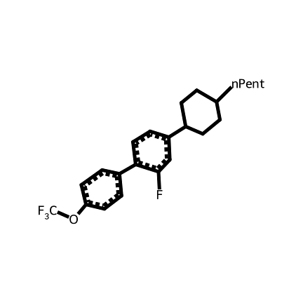 CCCCCC1CCC(c2ccc(-c3ccc(OC(F)(F)F)cc3)c(F)c2)CC1